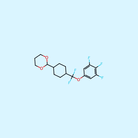 Fc1cc(OC(F)(F)C2CCC(C3OCCCO3)CC2)cc(F)c1F